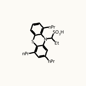 CCCc1cc(CCC)c2c(c1)N(C(CC)S(=O)(=O)O)c1c(CCC)cccc1S2